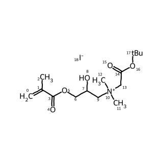 C=C(C)C(=O)OCC(O)C[N+](C)(C)CC(=O)OC(C)(C)C.[I-]